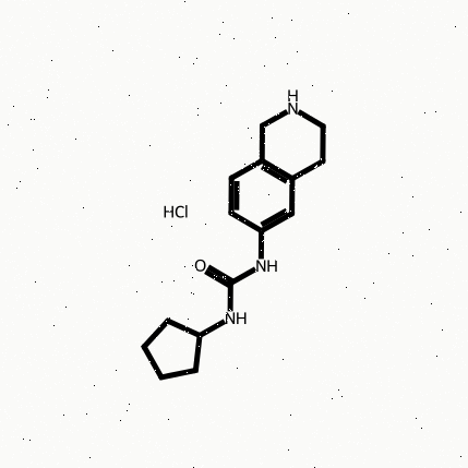 Cl.O=C(Nc1ccc2c(c1)CCNC2)NC1CCCC1